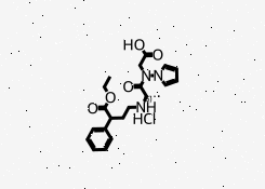 CCOC(=O)C(CCN[C@@H](C)C(=O)N(CC(=O)O)n1cccc1)c1ccccc1.Cl